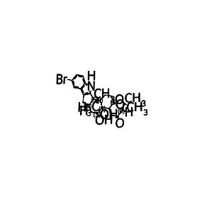 CC1(C)O[C@@]23CC[C@]4(C)[C@@]5(C)c6[nH]c7ccc(Br)cc7c6C[C@@H]5C[C@H](O)[C@@]4(O)C2=CC(=O)[C@@H]1O3